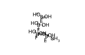 N.OB(O)F.OB(O)F.OB(O)F.OB(O)F